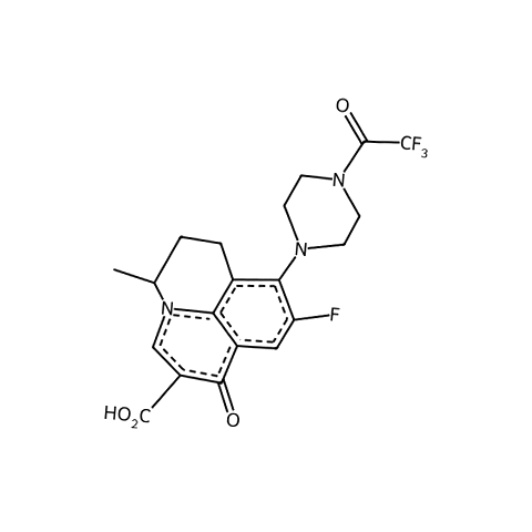 CC1CCc2c(N3CCN(C(=O)C(F)(F)F)CC3)c(F)cc3c(=O)c(C(=O)O)cn1c23